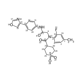 Cc1ccc(N(CC(=O)Nc2ccc(-c3cocn3)cc2)C(=O)C2CCS(=O)(=O)CC2)c(F)c1